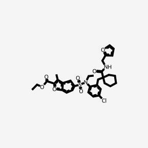 CCOC(=O)c1oc2ccc(S(=O)(=O)N(CC)c3ccc(Cl)cc3CC3(C(=O)NCc4ccco4)CCCCC3)cc2c1C